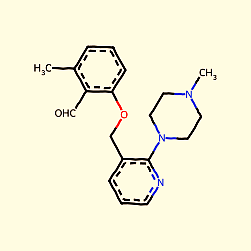 Cc1cccc(OCc2cccnc2N2CCN(C)CC2)c1C=O